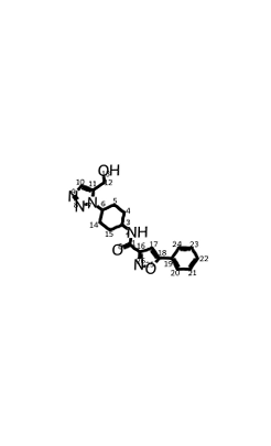 O=C(NC1CCC(n2nncc2CO)CC1)c1cc(-c2ccccc2)on1